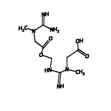 CN(CC(=O)OCNC(=N)N(C)CC(=O)O)C(=N)N